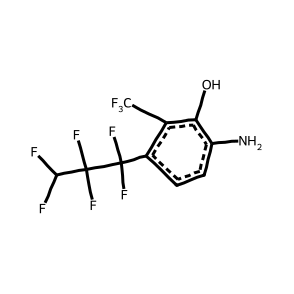 Nc1ccc(C(F)(F)C(F)(F)C(F)F)c(C(F)(F)F)c1O